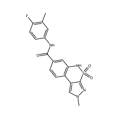 Cc1cc(NC(=O)c2ccc3c(c2)NS(=O)(=O)c2nn(C)cc2-3)ccc1F